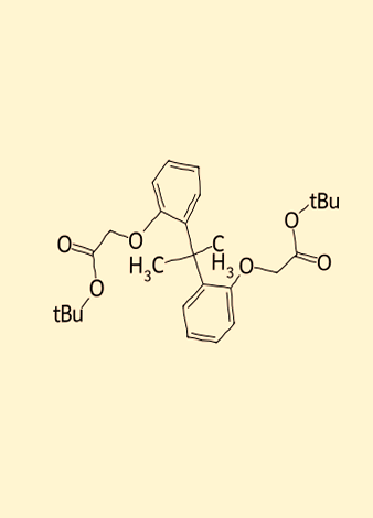 CC(C)(C)OC(=O)COc1ccccc1C(C)(C)c1ccccc1OCC(=O)OC(C)(C)C